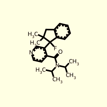 CC(C)N(C(=O)c1ccncc1C1(F)c2ccccc2CC1(C)C)C(C)C